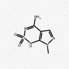 Cn1ncc2c1NS(=O)(=O)N=C2N